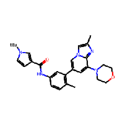 Cc1cn2cc(-c3cc(NC(=O)c4ccn(C(C)(C)C)c4)ccc3C)cc(N3CCOCC3)c2n1